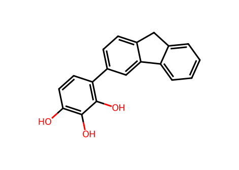 Oc1ccc(-c2ccc3c(c2)-c2ccccc2C3)c(O)c1O